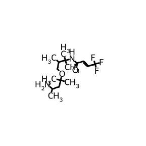 CC(N)CC(C)(C)OCC(C)C(C)(C)NC(=O)C=CC(F)(F)F